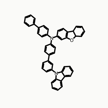 C1=CC2Oc3cc(N(c4ccc(-c5ccccc5)cc4)c4ccc(-c5cccc(-n6c7ccccc7c7ccccc76)c5)cc4)ccc3C2C=C1